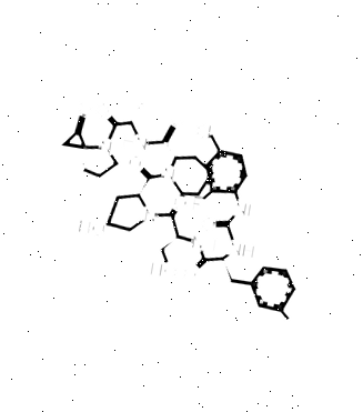 Cc1cccc(C[C@H](NC(=O)Nc2ccc(Cl)cc2F)C(=O)N[C@@H](CO)C(=O)N2C[C@H](O)C[C@H]2C(=O)N2CCCC[C@H]2C(=O)N[C@@H](C)C(=O)N2CCC[C@@]23CC3=O)c1